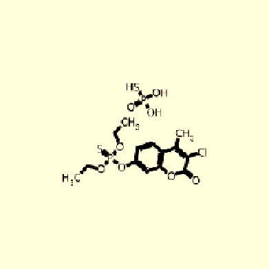 CCOP(=S)(OCC)Oc1ccc2c(C)c(Cl)c(=O)oc2c1.O=P(O)(O)S